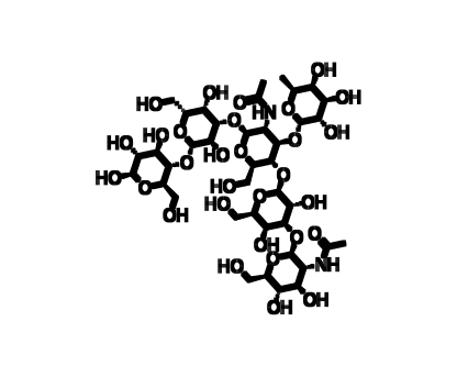 CC(=O)N[C@H]1[C@H](O[C@H]2[C@@H](O)[C@@H](CO)O[C@@H](O[C@H]3[C@H](O[C@@H]4O[C@@H](C)[C@@H](O)[C@@H](O)[C@@H]4O)[C@@H](NC(C)=O)[C@H](O[C@H]4[C@@H](O)[C@@H](CO)O[C@@H](O[C@H]5[C@H](O)[C@@H](O)[C@H](O)O[C@@H]5CO)[C@@H]4O)O[C@@H]3CO)[C@@H]2O)O[C@H](CO)[C@@H](O)[C@@H]1O